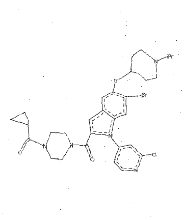 CC(C)N1CCC(Oc2cc3cc(C(=O)N4CCN(C(=O)C5CC5)CC4)n(-c4ccnc(Cl)c4)c3cc2Br)CC1